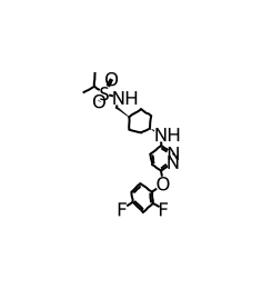 CC(C)S(=O)(=O)NC[C@H]1CC[C@H](Nc2ccc(Oc3ccc(F)cc3F)nn2)CC1